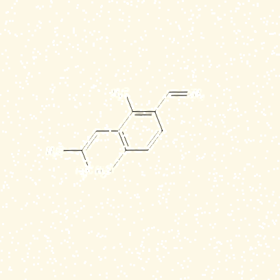 C=Cc1ccc([SiH3])c(C=C(C)C)c1C